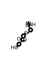 O=c1c(-c2ccc(O)cc2)coc2cc(OCc3cccc(-c4nnn[nH]4)c3)ccc12